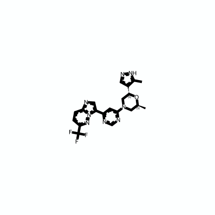 Cc1[nH]ncc1[C@H]1CN(c2cc(-c3cnc4ccc(C(F)(F)F)nn34)ncn2)C[C@H](C)O1